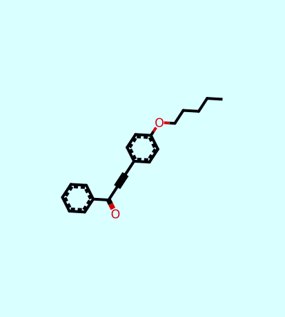 CCCCCOc1ccc(C#CC(=O)c2ccccc2)cc1